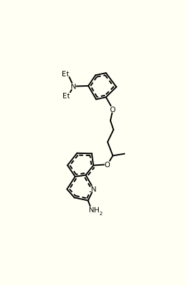 CCN(CC)c1cccc(OCCCC(C)Oc2cccc3ccc(N)nc23)c1